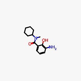 CN(C(=O)c1cccc(N)c1O)C1CCCCC1